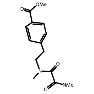 CNC(=O)C(=O)N(C)CCc1ccc(C(=O)OC)cc1